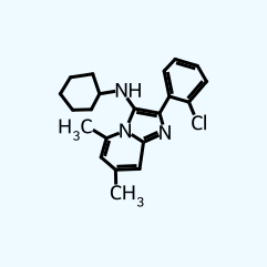 Cc1cc(C)n2c(NC3CCCCC3)c(-c3ccccc3Cl)nc2c1